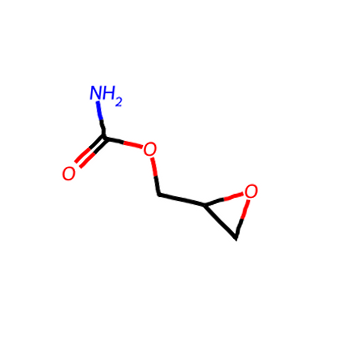 NC(=O)OCC1CO1